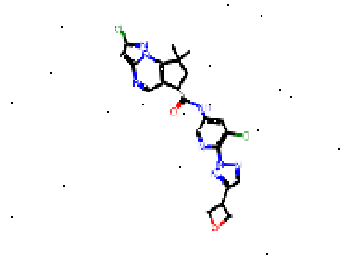 CC1(C)C[C@H](C(=O)Nc2cnc(-n3ncc(C4COC4)n3)c(Cl)c2)c2cnc3cc(Cl)nn3c21